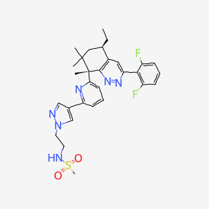 CC[C@@H]1CC(C)(C)[C@@](C)(c2cccc(-c3cnn(CCNS(C)(=O)=O)c3)n2)c2nnc(-c3c(F)cccc3F)cc21